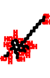 O=C(OCC(O)CO)C(CC(O)CO)C(CC(O)CO)C(CC(O)CO)C(CC(O)CO)C(CCCCCCCCCCCCCC(O)CO)CC(O)CO